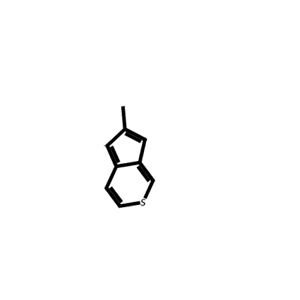 Cc1[c]c2ccscc-2c1